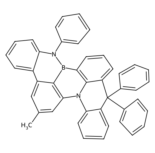 Cc1cc2c3c(c1)N1c4ccccc4C(c4ccccc4)(c4ccccc4)c4cccc(c41)B3N(c1ccccc1)c1ccccc1-2